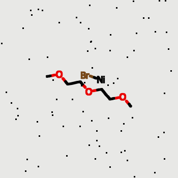 COCCOCCOC.[Ni][Br]